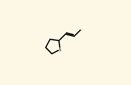 [CH2]C=CC1CCCS1